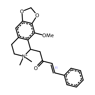 COc1c2c(cc3c1C(CC(=O)/C=C/c1ccccc1)[N+](C)(C)CC3)OCO2